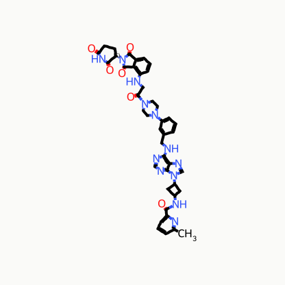 Cc1cccc(C(=O)NC2CC(n3cnc4c(NCc5cccc(N6CCN(C(=O)CNc7cccc8c7C(=O)N([C@H]7CCC(=O)NC7=O)C8=O)CC6)c5)ncnc43)C2)n1